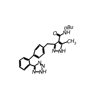 CCCCNC(=O)c1c(Cc2ccc(-c3ccccc3-c3nn[nH]n3)cc2)n[nH]c1C